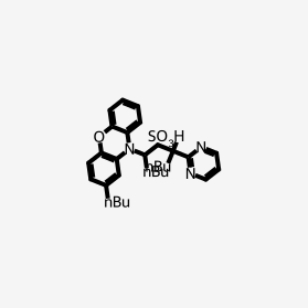 CCCCc1ccc2c(c1)N(C(CCCC)CC(CCCC)(c1ncccn1)S(=O)(=O)O)c1ccccc1O2